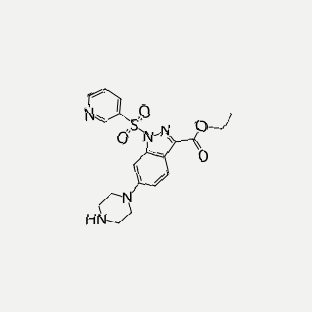 CCOC(=O)c1nn(S(=O)(=O)c2cccnc2)c2cc(N3CCNCC3)ccc12